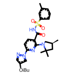 Cc1cccc(S(=O)(=O)NC(=O)c2ccc(-n3cc(OCC(C)C)cn3)nc2N2C[C@@H](C)CC2(C)C)c1